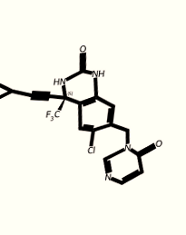 O=C1Nc2cc(Cn3cnccc3=O)c(Cl)cc2[C@@](C#CC2CC2)(C(F)(F)F)N1